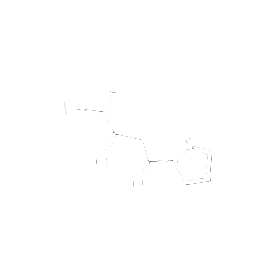 O=C(CC(=O)C(F)F)c1cccs1